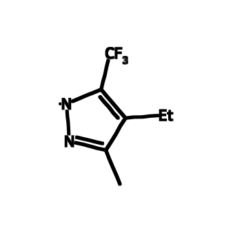 CCC1=C(C(F)(F)F)[N]N=C1C